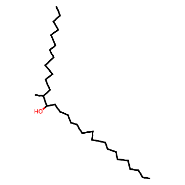 CCCCCCCCCCCCCCCCCC(O)C(C)CCCCCCCCCCCC